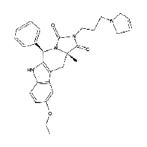 CCOc1ccc2[nH]c3c(c2c1)C[C@@]1(C)C(=O)N(CCCN2CC=CC2)C(=O)N1[C@@H]3c1ccccc1